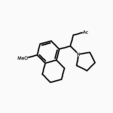 COc1ccc(C(CC(C)=O)N2CCCC2)c2c1CCCC2